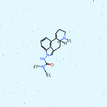 CCN(CC)C(=O)Nn1cc2c3c(cccc31)C1=CCCN(CC)[C@@H]1C2